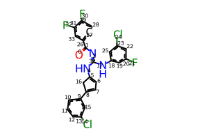 O=C(/N=C(\NC1=CC=C(c2cccc(Cl)c2)C1)Nc1cc(F)cc(Cl)c1)c1ccc(F)c(F)c1